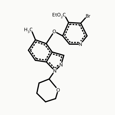 CCOC(=O)c1c(Br)cncc1Oc1c(C)ccc2c1cnn2C1CCCCO1